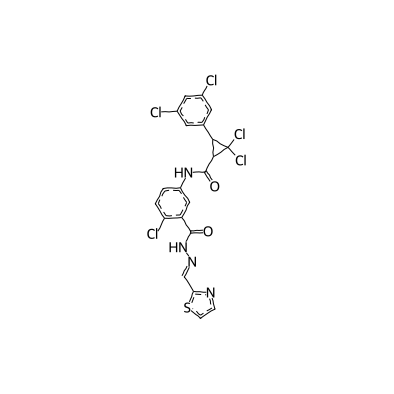 O=C(N/N=C/c1nccs1)c1cc(NC(=O)C2C(c3cc(Cl)cc(Cl)c3)C2(Cl)Cl)ccc1Cl